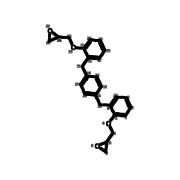 c1ccc(OCC2CO2)c(Cc2ccc(Cc3ccccc3OCC3CO3)cc2)c1